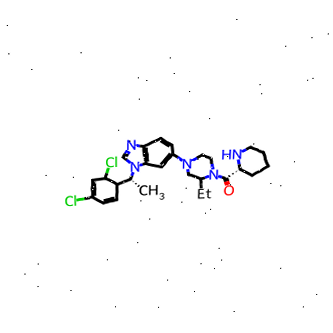 CCC1CN(c2ccc3ncn([C@H](C)C4C=CC(Cl)=CC4Cl)c3c2)CCN1C(=O)[C@H]1CCCCN1